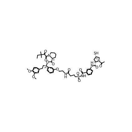 CCC(C)(C)C(=O)C(=O)N1CCCC[C@H]1C(=O)O[C@H](CCc1ccc(OC)c(OC)c1)c1cccc(OCCNC(=O)CCCS(=O)(=O)NC(=O)c2cccc(NC(=O)[C@@H]3C[C@H](S)CN3C(C)=O)c2)c1